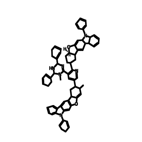 CC1C=C2Oc3cc4c(cc3C2CC1c1cnc(C2CC[C@H]3OC5=CC6C(C=C5C3C2)C2C=CC=CC2N6c2ccccc2)c(C2=NC(C3=CC=CCC3)NC(C3=CC=CCC3)N2C)c1)c1ccccc1n4C1=CCCC=C1